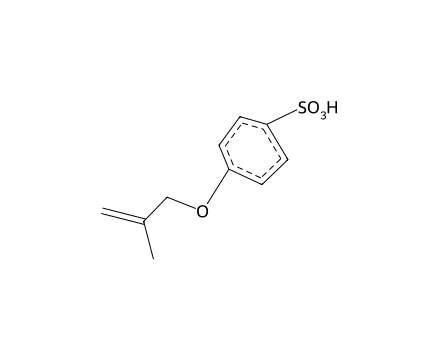 C=C(C)COc1ccc(S(=O)(=O)O)cc1